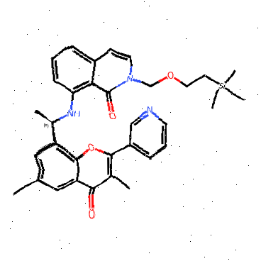 Cc1cc([C@@H](C)Nc2cccc3ccn(COCC[Si](C)(C)C)c(=O)c23)c2oc(-c3cccnc3)c(C)c(=O)c2c1